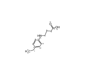 CCc1ccc(NCCCC(=O)O)cc1